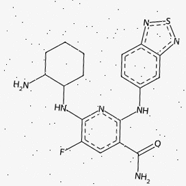 NC(=O)c1cc(F)c(NC2CCCCC2N)nc1Nc1ccc2nsnc2c1